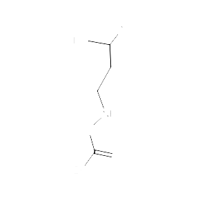 CCC(=O)ONCCC(C)C(C)=O